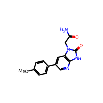 COc1ccc(-c2cnc3[nH]c(=O)n(CC(N)=O)c3c2)cc1